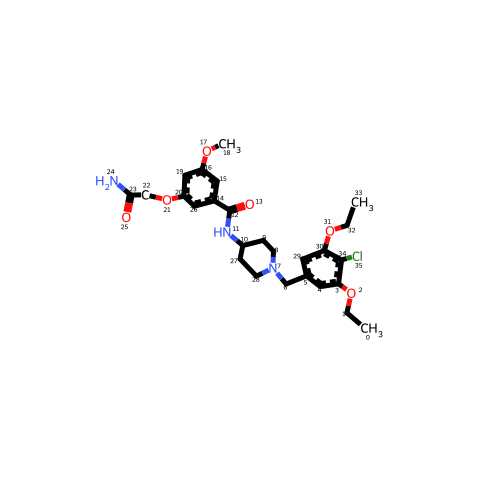 CCOc1cc(CN2CCC(NC(=O)c3cc(OC)cc(OCC(N)=O)c3)CC2)cc(OCC)c1Cl